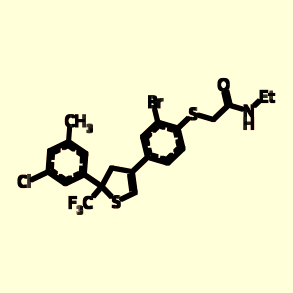 CCNC(=O)CSc1ccc(C2=CSC(c3cc(C)cc(Cl)c3)(C(F)(F)F)C2)cc1Br